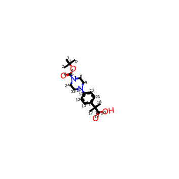 CC(C)(C)OC(=O)N1CCN(c2ccc(C(C)(C)C(=O)O)cc2)CC1